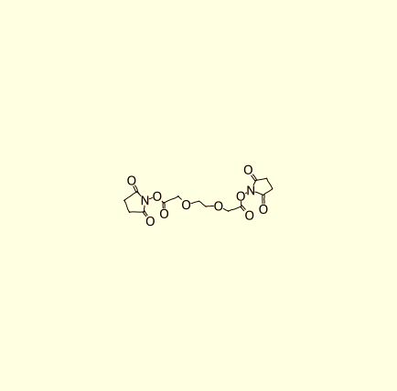 O=C(COCCOCC(=O)ON1C(=O)CCC1=O)ON1C(=O)CCC1=O